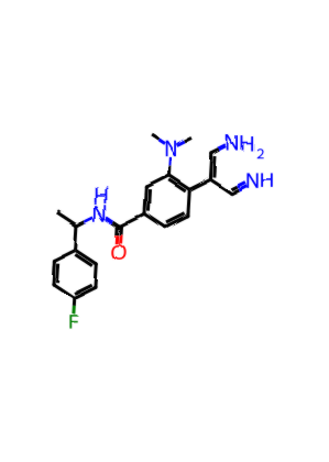 CC(NC(=O)c1ccc(/C(C=N)=C/N)c(N(C)C)c1)c1ccc(F)cc1